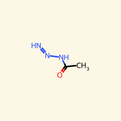 CC(=O)NN=N